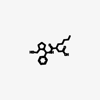 CCCCCC(CC(=O)O)C(=O)NC(c1ccccc1)N1CCCC1CO